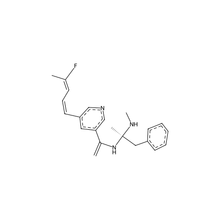 C=C(N[C@](C)(Cc1ccccc1)NC)c1cncc(/C=C\C=C(/C)F)c1